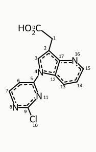 O=C(O)Cc1cn(-c2ccnc(Cl)n2)c2cccnc12